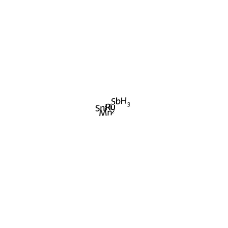 [Mn].[Ru].[SbH3].[SnH2]